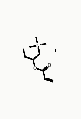 C=CC(=O)OC(CC)C[N+](C)(C)C.[I-]